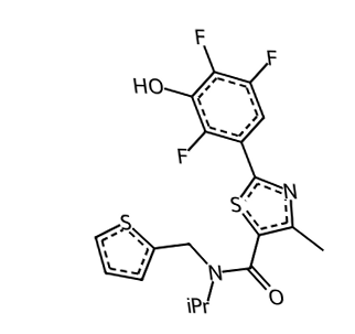 Cc1nc(-c2cc(F)c(F)c(O)c2F)sc1C(=O)N(Cc1cccs1)C(C)C